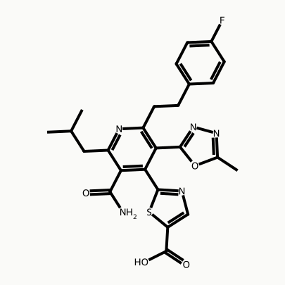 Cc1nnc(-c2c(CCc3ccc(F)cc3)nc(CC(C)C)c(C(N)=O)c2-c2ncc(C(=O)O)s2)o1